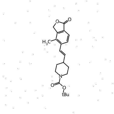 Cc1c(C=CC2CCN(C(=O)OC(C)(C)C)CC2)ccc2c1COC2=O